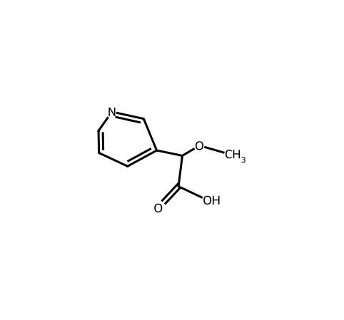 COC(C(=O)O)c1cccnc1